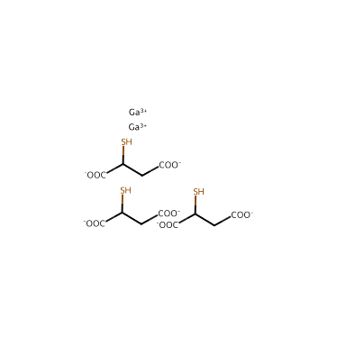 O=C([O-])CC(S)C(=O)[O-].O=C([O-])CC(S)C(=O)[O-].O=C([O-])CC(S)C(=O)[O-].[Ga+3].[Ga+3]